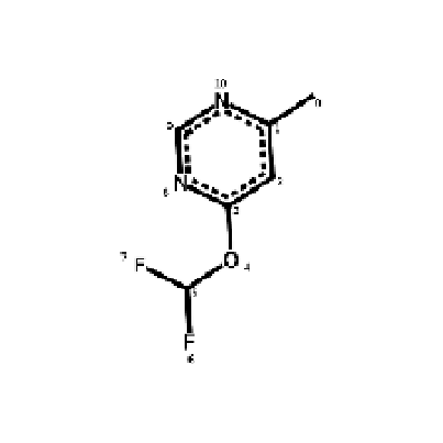 Cc1cc(OC(F)F)n[c]n1